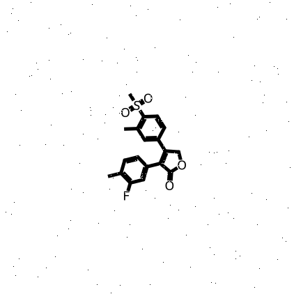 Cc1ccc(C2=C(c3ccc(S(C)(=O)=O)c(C)c3)COC2=O)cc1F